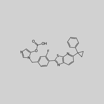 O=C(O)Oc1cncn1Cc1ccc(-c2nc3ccc(C4(c5ccccc5)CC4)nc3s2)c(F)c1